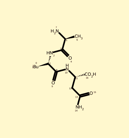 CC[C@H](C)[C@H](NC(=O)[C@H](C)N)C(=O)N[C@@H](CC(N)=O)C(=O)O